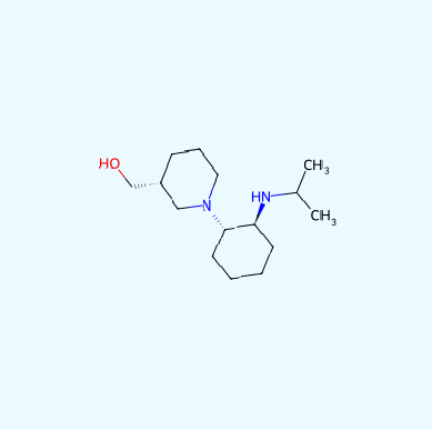 CC(C)N[C@H]1CCCC[C@@H]1N1CCC[C@@H](CO)C1